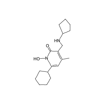 Cc1cc(C2CCCCC2)n(O)c(=O)c1CNC1CCCC1